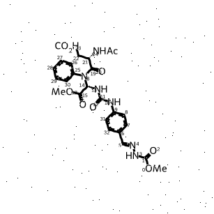 COC(=O)NN=Cc1ccc(NC(=O)N[C@@H](C(=O)OC)N(C(=O)[C@H](CC(=O)O)NC(C)=O)c2ccccc2)cc1